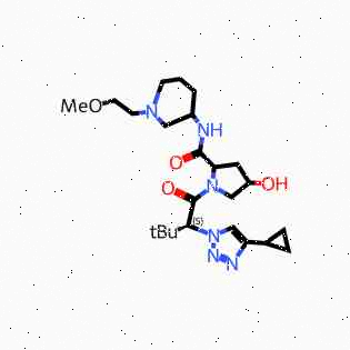 COCCN1CCCC(NC(=O)C2CC(O)CN2C(=O)[C@@H](n2cc(C3CC3)nn2)C(C)(C)C)C1